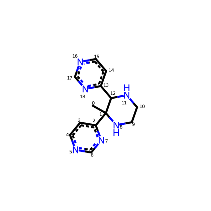 CC1(c2ccncn2)NCCNC1c1ccncn1